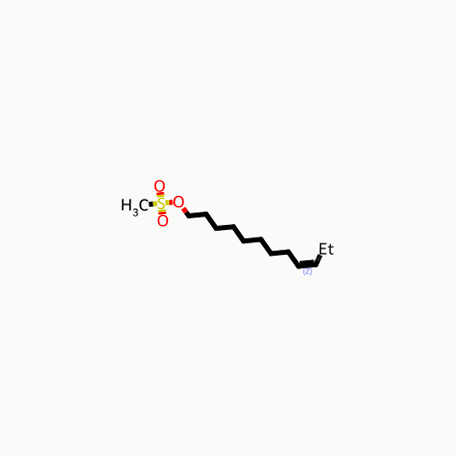 CC/C=C\CCCCCCCCOS(C)(=O)=O